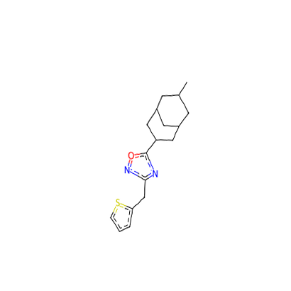 CC1CC2CC(C1)CC(c1nc(Cc3cccs3)no1)C2